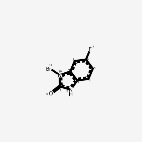 O=c1[nH]c2ccc(F)cc2n1Br